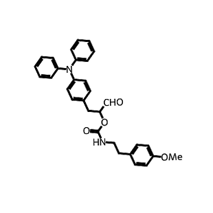 COc1ccc(CCNC(=O)OC(C=O)Cc2ccc(N(c3ccccc3)c3ccccc3)cc2)cc1